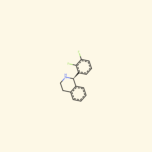 Fc1cccc([C@@H]2NCCc3ccccc32)c1F